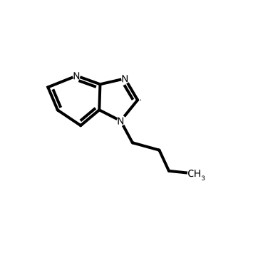 CCCCn1[c]nc2ncccc21